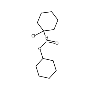 O=[PH](OC1CCCCC1)C1(Cl)CCCCC1